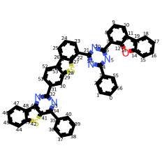 c1ccc(-c2nc(-c3cccc4c3oc3ccccc34)nc(-c3cccc4c3sc3cc(-c5nc(-c6ccccc6)c6sc7ccccc7c6n5)ccc34)n2)cc1